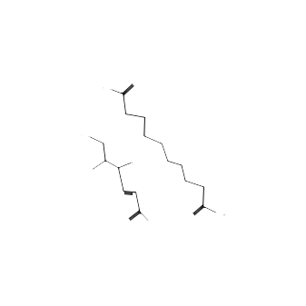 O=C(O)C=CC(O)C(O)CO.O=C(O)CCCCCCCCC(=O)O